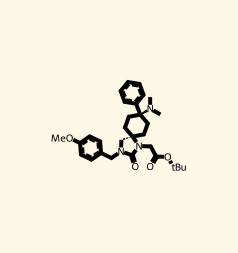 COc1ccc(CN2C[C@]3(CC[C@](c4ccccc4)(N(C)C)CC3)N(CC(=O)OC(C)(C)C)C2=O)cc1